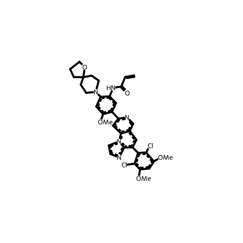 C=CC(=O)Nc1cc(-c2cc3c(cn2)cc(-c2c(Cl)c(OC)cc(OC)c2Cl)c2nccn23)c(OC)cc1N1CCC2(CCCO2)CC1